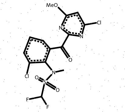 COc1cc(Cl)nc(C(=O)c2cccc(Cl)c2N(C)S(=O)(=O)C(F)F)n1